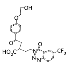 O=C(CC(CCn1nnc2ccc(C(F)(F)F)cc2c1=O)C(=O)O)c1ccc(OCCO)cc1